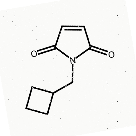 O=C1C=CC(=O)N1C[C]1CCC1